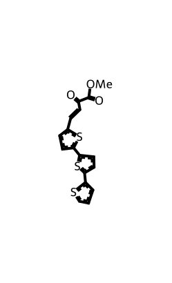 COC(=O)C(=O)C=Cc1ccc(-c2ccc(-c3cccs3)s2)s1